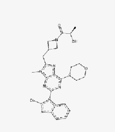 CCc1nc2ccccc2n1-c1nc(N2CCOCC2)c2nc(CC3CN(C(=O)[C@@H](C)O)C3)n(C)c2n1